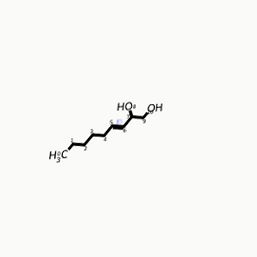 CCCCC/C=C/C(O)CO